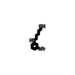 C[CH]Cc1cccc(NCCCCCO)c1